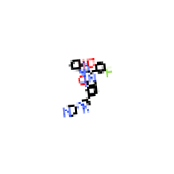 CN1CCC(n2cc(-c3ccc4c(c3)C(=O)N(C(c3nc5ccccc5[nH]3)c3cc(F)ccc3O)C4)cn2)CC1